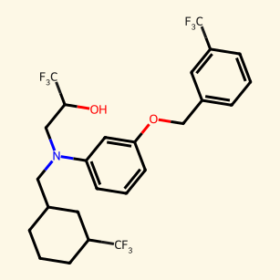 OC(CN(CC1CCCC(C(F)(F)F)C1)c1cccc(OCc2cccc(C(F)(F)F)c2)c1)C(F)(F)F